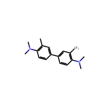 Cc1cc(-c2ccc(N(C)C)c(C(F)(F)F)c2)ccc1N(C)C